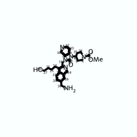 COC(=O)N1CCC(n2c(=O)n(Cc3ncc4cc(CN)ccc4c3CCCCO)c3cnccc32)CC1